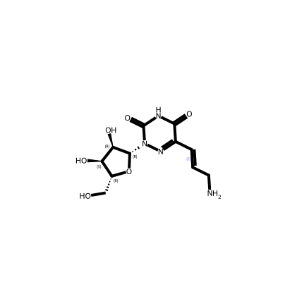 NC/C=C/c1nn([C@@H]2O[C@H](CO)[C@@H](O)[C@H]2O)c(=O)[nH]c1=O